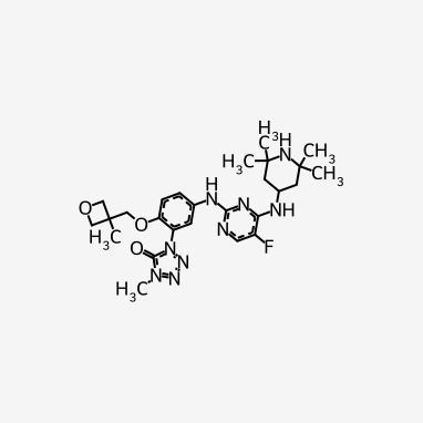 Cn1nnn(-c2cc(Nc3ncc(F)c(NC4CC(C)(C)NC(C)(C)C4)n3)ccc2OCC2(C)COC2)c1=O